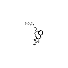 CCOC(=O)CCCOC1=CC=CC(=CC2SC(=NC)N(C)C2=C=O)C1